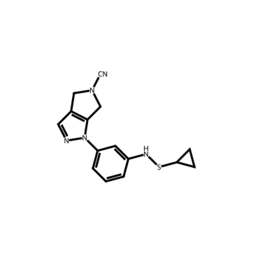 N#CN1Cc2cnn(-c3cccc(NSC4CC4)c3)c2C1